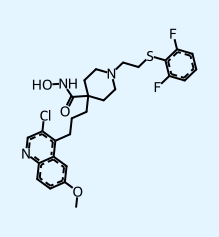 COc1ccc2ncc(Cl)c(CCCC3(C(=O)NO)CCN(CCSc4c(F)cccc4F)CC3)c2c1